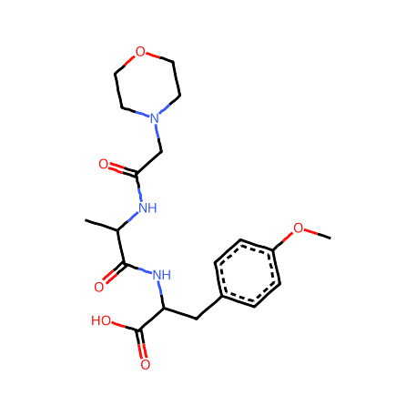 COc1ccc(CC(NC(=O)C(C)NC(=O)CN2CCOCC2)C(=O)O)cc1